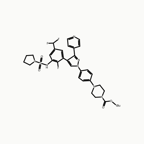 CC(C)(C)OC(=O)N1CCN(c2ccc(-n3cc(-c4cc(C(F)F)cc(NS(=O)(=O)N5CCCC5)c4F)c(-c4ccncc4)n3)cc2)CC1